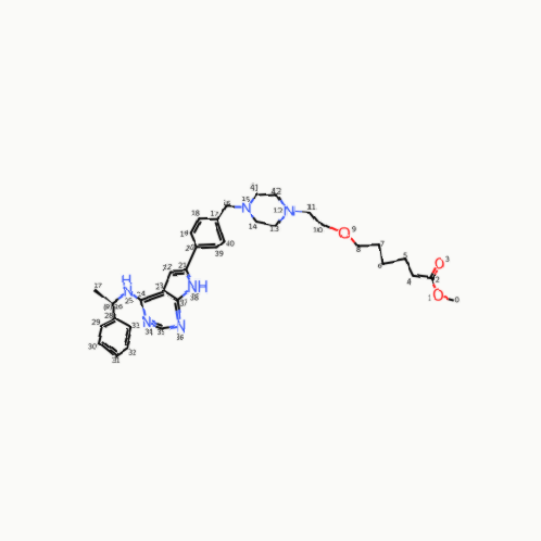 COC(=O)CCCCCOCCN1CCN(Cc2ccc(-c3cc4c(N[C@H](C)c5ccccc5)ncnc4[nH]3)cc2)CC1